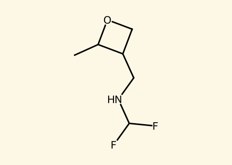 CC1OCC1CNC(F)F